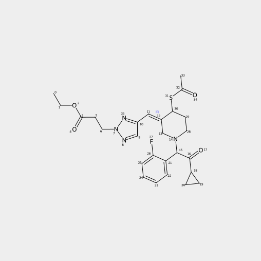 CCOC(=O)CCn1ncc(/C=C2\CN(C(C(=O)C3CC3)c3ccccc3F)CCC2SC(C)=O)n1